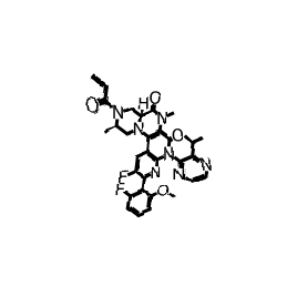 C=CC(=O)N1C[C@@H]2C(=O)N(C)c3c(c4cc(F)c(-c5c(F)cccc5OC)nc4n(-c4nccnc4C(C)C)c3=O)N2C[C@H]1C